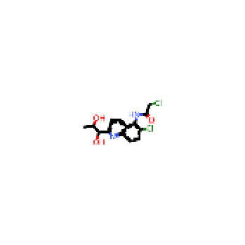 CC(O)C(O)c1ccc2c(NC(=O)CCl)c(Cl)ccc2n1